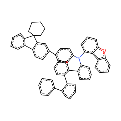 c1ccc(-c2ccccc2-c2ccccc2-c2ccccc2N(c2ccc(-c3ccc4c(c3)C3(CCCCC3)c3ccccc3-4)cc2)c2cccc3oc4ccccc4c23)cc1